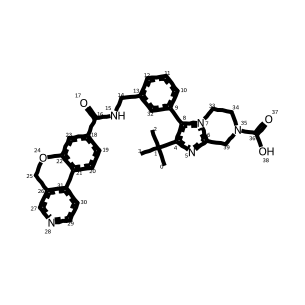 CC(C)(C)c1nc2n(c1-c1cccc(CNC(=O)c3ccc4c(c3)OCc3cnccc3-4)c1)CCN(C(=O)O)C2